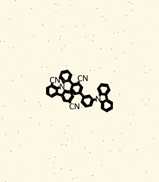 N#Cc1ccc2c(c1)c1cccc(C#N)c1n2-c1ccccc1-c1ccc(-c2cccc(-n3c4ccccc4c4ccccc43)c2)cc1C#N